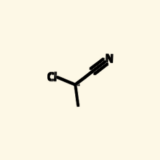 C[C](Cl)C#N